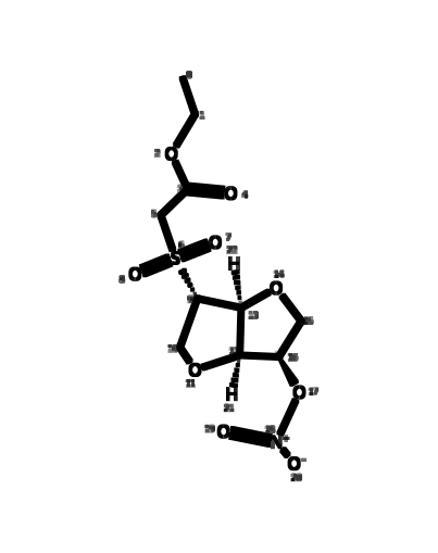 CCOC(=O)CS(=O)(=O)[C@H]1CO[C@H]2[C@@H]1OC[C@H]2O[N+](=O)[O-]